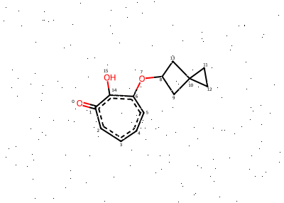 O=c1ccccc(OC2CC3(CC3)C2)c1O